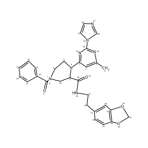 Cc1cc(N2CCN(C(=O)c3cccnc3)CC2C(=O)NCCc2ccc3c(c2)OCO3)nc(-n2ccnc2)n1